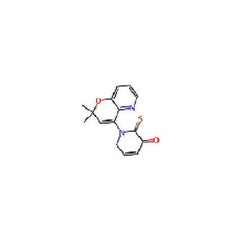 CC1(C)C=C(N2CC=CC(=O)C2=S)c2ncccc2O1